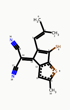 CC(C)=CC1=C(S)c2sc(C)cc2C1=C(C#N)C#N